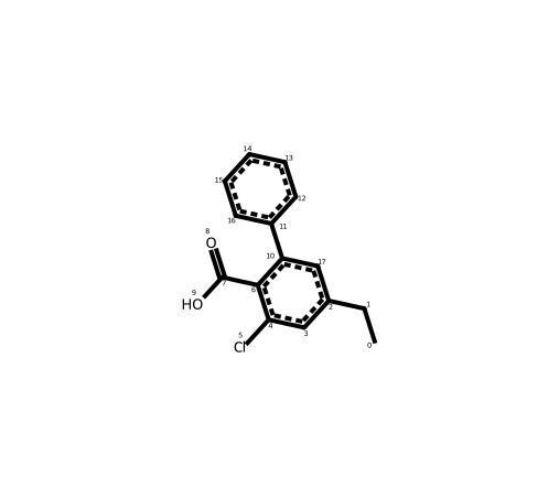 CCc1cc(Cl)c(C(=O)O)c(-c2ccccc2)c1